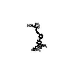 CN(CCO)C(=O)CC#Cc1cccc(-c2ncc(NCC3(C)COC3)c(C(N)=O)n2)c1